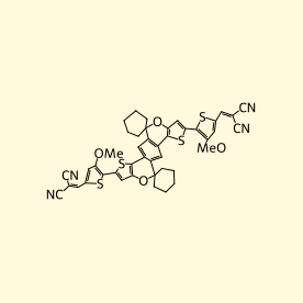 COc1cc(C=C(C#N)C#N)sc1-c1cc2c(s1)-c1cc3c(cc1C1(CCCCC1)O2)-c1sc(-c2sc(C=C(C#N)C#N)cc2OC)cc1OC31CCCCC1